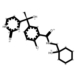 C[C@@](O)(c1ccc(Cl)c(C(=O)NCC2(O)CCCCC2)c1)c1cc[nH]c(=O)n1